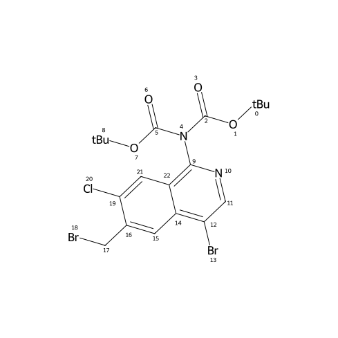 CC(C)(C)OC(=O)N(C(=O)OC(C)(C)C)c1ncc(Br)c2cc(CBr)c(Cl)cc12